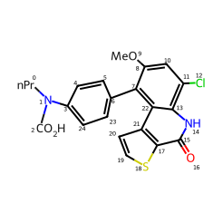 CCCN(C(=O)O)c1ccc(-c2c(OC)cc(Cl)c3[nH]c(=O)c4sccc4c23)cc1